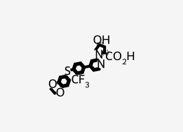 O=C(O)[C@@H]1C[C@@H](O)CN1c1cc(-c2ccc(Sc3ccc4c(c3)OCCO4)c(C(F)(F)F)c2)ccn1